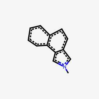 Cn1cc2ccc3ccccc3c2c1